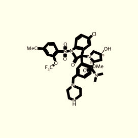 COc1ccc(S(=O)(=O)N2C(=O)C(c3cc(CN4CCNCC4)ccc3OC)(N3C[C@H](O)C[C@H]3C(=O)N(C)C)c3cc(Cl)ccc32)c(OC(F)(F)F)c1